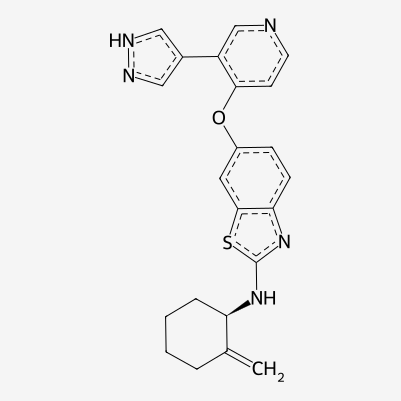 C=C1CCCC[C@H]1Nc1nc2ccc(Oc3ccncc3-c3cn[nH]c3)cc2s1